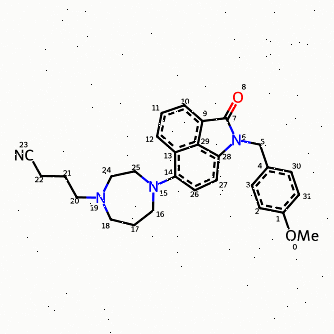 COc1ccc(CN2C(=O)c3cccc4c(N5CCCN(CCCC#N)CC5)ccc2c34)cc1